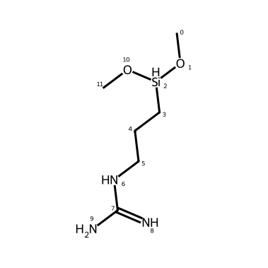 CO[SiH](CCCNC(=N)N)OC